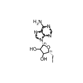 Nc1ncnc2c1ncn2[C@@H]1O[C@H](CI)C(O)C1O